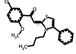 CCCCN1C(c2ccccc2)=CS/C1=C\C(=O)c1cc(Cl)ccc1OC